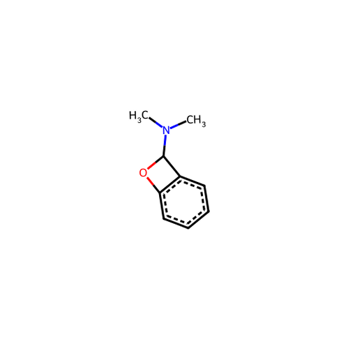 CN(C)C1Oc2ccccc21